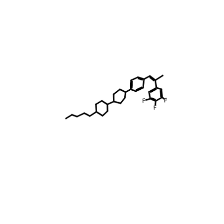 CCCCCC1CCC(C2CCC(c3ccc(C=C(C)c4cc(F)c(F)c(F)c4)cc3)CC2)CC1